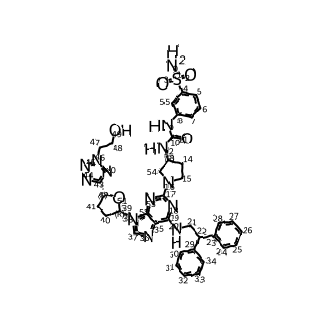 NS(=O)(=O)c1cccc(NC(=O)N[C@@H]2CCN(c3nc(NCC(c4ccccc4)c4ccccc4)c4ncn([C@H]5CC[C@H](c6nnn(CCO)n6)O5)c4n3)C2)c1